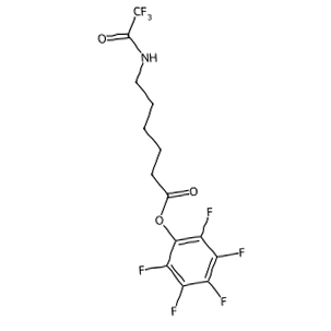 O=C(CCCCCNC(=O)C(F)(F)F)Oc1c(F)c(F)c(F)c(F)c1F